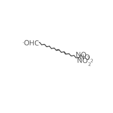 O=[C]CCCCCCCC=CCC=CCCCCC([N+](=O)[O-])([N+](=O)[O-])[N+](=O)[O-]